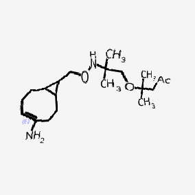 CC(=O)CC(C)(C)OCC(C)(C)NOCC1C2CC/C=C(/N)CCC21